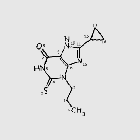 CCCn1c(=S)[nH]c(=O)c2[nH]c(C3CC3)nc21